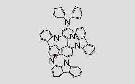 N#Cc1cc(-c2ncc(-n3c4ccccc4c4ccccc43)cc2-n2c3ccccc3c3ccccc32)c(-n2c3ccccc3c3ccccc32)cc1-n1c2ccccc2c2ccccc21